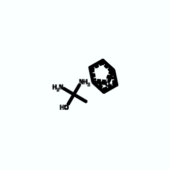 CC(N)(N)O.c1cc2ccc1o2